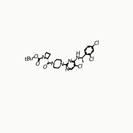 C[C@@H](Nc1nc(N2CCN(C(=O)[C@H]3CCN3C(=O)OC(C)(C)C)CC2)ncc1Cl)c1ccc(Cl)cc1Cl